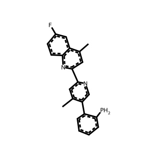 Cc1cc(-c2cc(C)c3cc(F)ccc3n2)ncc1-c1ccccc1P